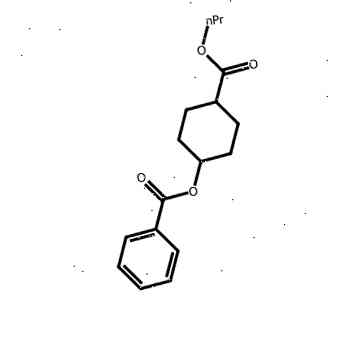 CCCOC(=O)C1CCC(OC(=O)c2ccccc2)CC1